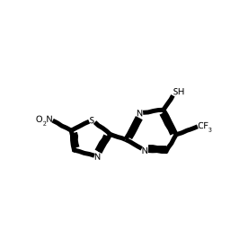 O=[N+]([O-])c1cnc(-c2ncc(C(F)(F)F)c(S)n2)s1